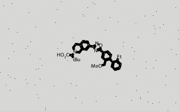 CCc1ccccc1-c1ccc(-c2nc(-c3ccc4c(c3)CN(C(C(=O)O)C(C)(C)C)CC4)no2)cc1COC